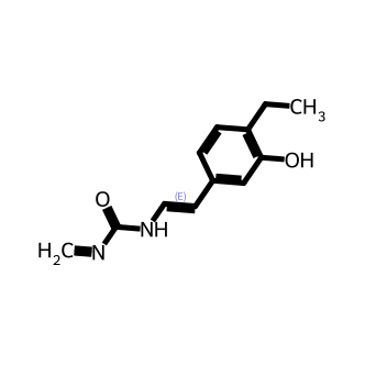 C=NC(=O)N/C=C/c1ccc(CC)c(O)c1